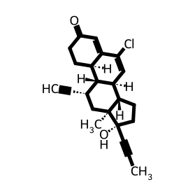 C#C[C@H]1C[C@@]2(C)[C@@H](CC[C@@]2(O)C#CC)[C@@H]2C=C(Cl)C3=CC(=O)CC[C@@H]3[C@H]21